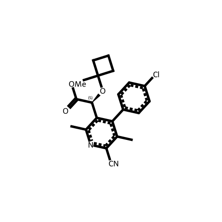 COC(=O)[C@@H](OC1(C)CCC1)c1c(C)nc(C#N)c(C)c1-c1ccc(Cl)cc1